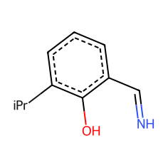 CC(C)c1cccc(C=N)c1O